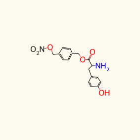 NC(Cc1ccc(O)cc1)C(=O)OCc1ccc(CO[N+](=O)[O-])cc1